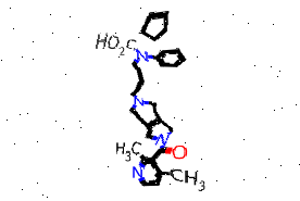 C1CCCC1.Cc1ccnc(C)c1C(=O)N1CC2CN(CCCN(C(=O)O)c3ccccc3)CC2C1